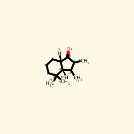 CC1C(=O)[C@H]2CCCC(C)(C)[C@H]2C1C